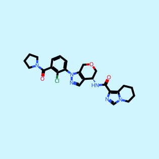 O=C(N[C@H]1COCc2c1cnn2-c1cccc(C(=O)N2CCCC2)c1Cl)c1ncn2c1CCCC2